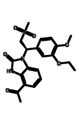 CCOc1cc([C@H](CS(C)(=O)=O)n2c(=O)[nH]c3c(C(C)=O)cccc32)ccc1OC